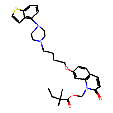 CCC(C)(C)C(=O)OCn1c(=O)ccc2ccc(OCCCCN3CCN(c4cccc5sccc45)CC3)cc21